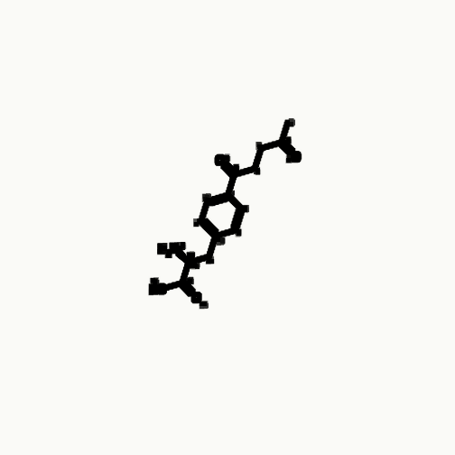 CC(=O)CCC(=O)c1ccc(C[C@H](N)C(=O)O)cc1